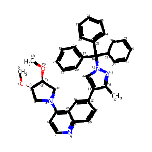 CO[C@H]1CN(c2ccnc3ccc(-c4cn(C(c5ccccc5)(c5ccccc5)C5C=CC=CC5)nc4C)cc23)C[C@@H]1OC